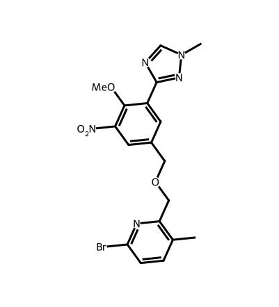 COc1c(-c2ncn(C)n2)cc(COCc2nc(Br)ccc2C)cc1[N+](=O)[O-]